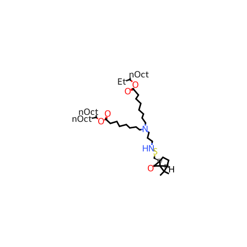 CCCCCCCCC(CC)OC(=O)CCCCCCCN(CCCCCCCC(=O)OC(CCCCCCCC)CCCCCCCC)CCCNSC[C@@]12CC[C@@H]3C(C)(C)C31C2=O